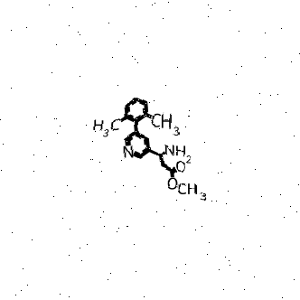 COC(=O)C[C@H](N)c1cncc(-c2c(C)cccc2C)c1